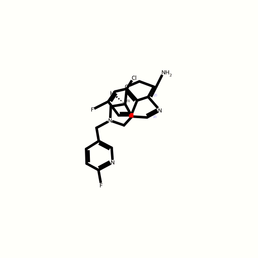 N/C1=C(c2ccc(F)cc2Cl)\N=C/C2CN(Cc3ccc(F)nc3)C[C@H]2OC1